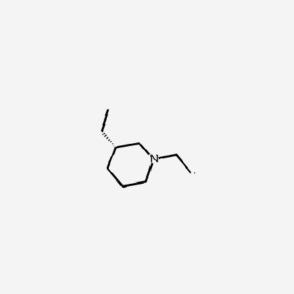 [CH2]CN1CCC[C@H](CC)C1